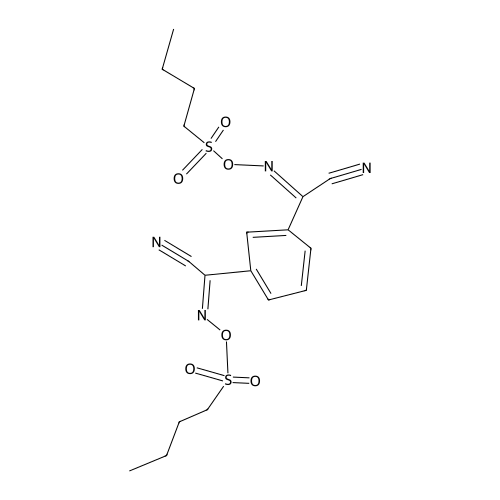 CCCCS(=O)(=O)O/N=C(/C#N)c1cccc(/C(C#N)=N\OS(=O)(=O)CCCC)c1